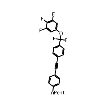 CCCCCc1ccc(C#Cc2ccc(C(F)(F)Oc3cc(F)c(F)c(F)c3)cc2)cc1